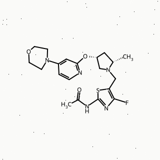 CC(=O)Nc1nc(F)c(CN2C[C@H](Oc3cc(N4CCOCC4)ccn3)C[C@@H]2C)s1